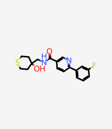 O=C(NCC1(O)CCSCC1)c1ccc(-c2cccc(F)c2)nc1